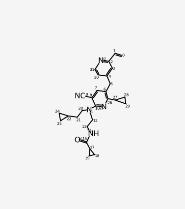 C=Cc1cc(Cc2cc(C#N)c(N(CCNC(=O)C3CC3)CCC3CC3)nc2C2CC2)ccn1